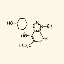 CCOC(=O)C1=C(N[C@H]2CCC[C@@H](O)C2)c2cnn(CC)c2NC1